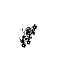 CCn1cc(-c2ccccc2)nc1[C@@H]1CCCN1C(=O)C(CC1CCCC1)NC(=O)C(CNC(=O)OCc1ccccc1)NC(=O)OC(C)(C)C